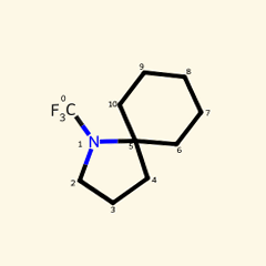 FC(F)(F)N1CCCC12CCCCC2